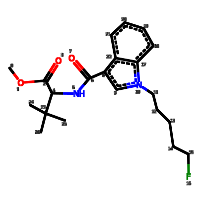 COC(=O)C(NC(=O)c1cn(CCCCCF)c2ccccc12)C(C)(C)C